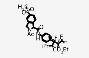 CCOC(=O)C(C(C)C)C(c1ccc(NC(=O)C2c3ccc(S(C)(=O)=O)cc3CN2C(C)=O)cc1)(C(F)C(F)F)C(F)(F)F